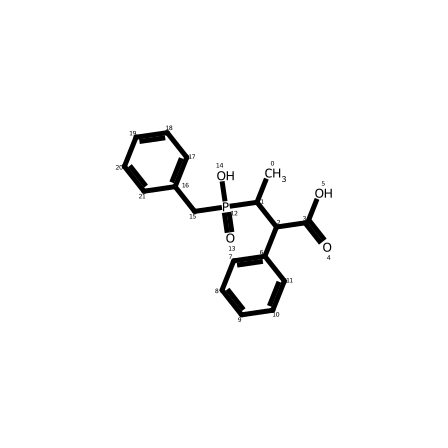 CC(C(C(=O)O)c1ccccc1)P(=O)(O)Cc1ccccc1